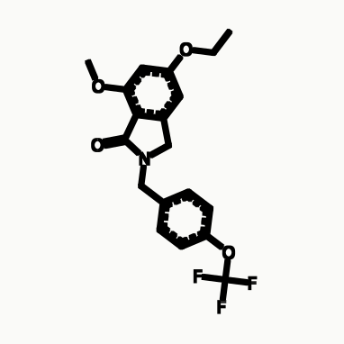 CCOc1cc2c(c(OC)c1)C(=O)N(Cc1ccc(OC(F)(F)F)cc1)C2